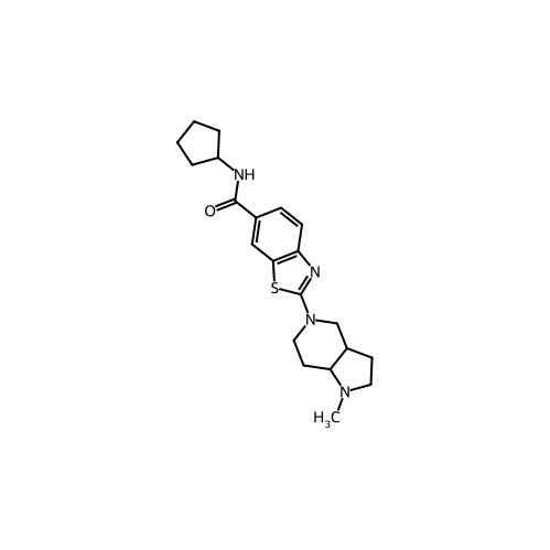 CN1CCC2CN(c3nc4ccc(C(=O)NC5CCCC5)cc4s3)CCC21